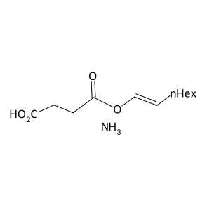 CCCCCC/C=C/OC(=O)CCC(=O)O.N